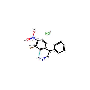 Cl.NCC(c1ccccc1)c1ccc([N+](=O)[O-])c(Br)c1F